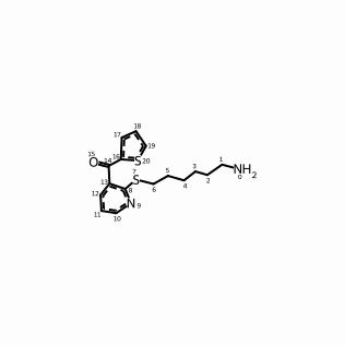 NCCCCCCSc1ncccc1C(=O)c1cccs1